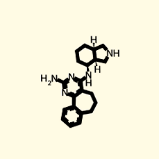 Nc1nc(N[C@H]2CCC[C@H]3CNC[C@H]32)c2c(n1)-c1ccccc1CCC2